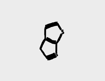 C1#Sc2sc#cc2C1